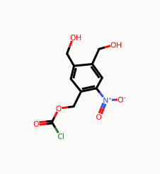 O=C(Cl)OCc1cc(CO)c(CO)cc1[N+](=O)[O-]